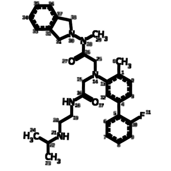 Cc1ccc(-c2ccccc2F)cc1N(CC(=O)NCCNC(C)C)CC(=O)N(C)N1Cc2ccccc2C1